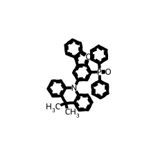 CC1(C)c2ccccc2N(c2cc(P(=O)(c3ccccc3)c3ccccc3)c3oc4ccccc4c3c2)c2ccccc21